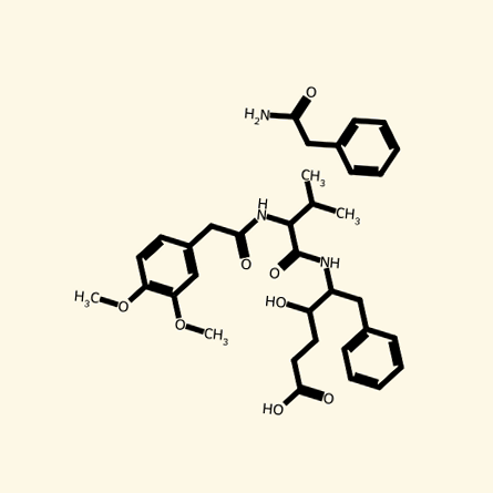 COc1ccc(CC(=O)NC(C(=O)NC(Cc2ccccc2)C(O)CCC(=O)O)C(C)C)cc1OC.NC(=O)Cc1ccccc1